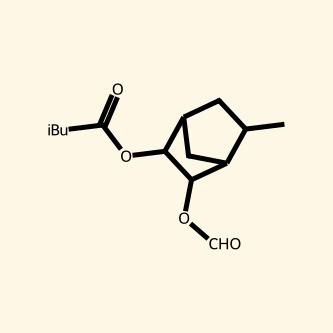 CCC(C)C(=O)OC1C2CC(C)C(C2)C1OC=O